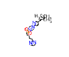 C[Si](C)(C)C#Cc1ccc(N2CCN(S(=O)(=O)/C=C\CCCc3ncccn3)CC2)nc1